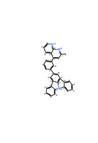 Cc1cc(-c2cccc(-c3cc4c5ccccc5n5c6ccccc6c(c3)c45)c2)c2cccnc2n1